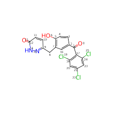 O=C(c1ccc(O)c(Cc2ccc(=O)[nH]n2)c1)c1c(Cl)cc(Cl)cc1Cl